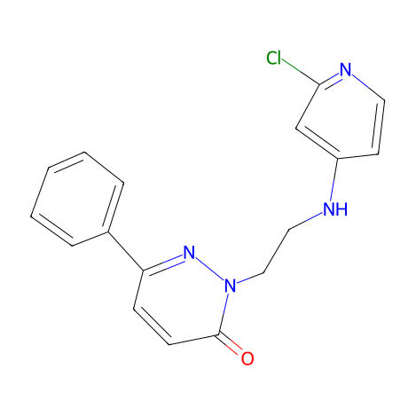 O=c1ccc(-c2ccccc2)nn1CCNc1ccnc(Cl)c1